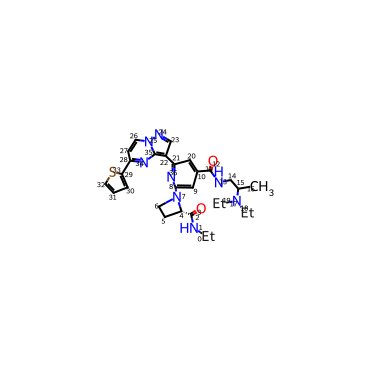 CCNC(=O)[C@@H]1CCN1c1cc(C(=O)NCC(C)N(CC)CC)cc(-c2cnn3ccc(-c4cccs4)nc23)n1